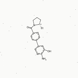 CC[C@H]1CCCN1C(=O)c1ccc(-c2cnc(N)c(O)c2)cc1